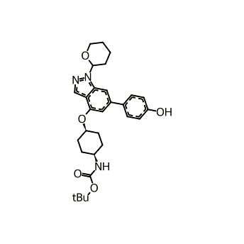 CC(C)(C)OC(=O)N[C@H]1CC[C@@H](Oc2cc(-c3ccc(O)cc3)cc3c2cnn3C2CCCCO2)CC1